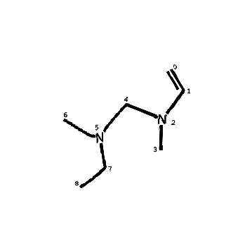 C=CN(C)CN(C)CC